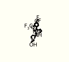 OCCN1CCCC(Nc2nnc(-c3ccc(OC(F)F)cc3OC(F)(F)F)c3cccn23)C1